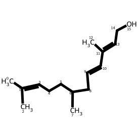 CC(C)=CCCC(C)C/C=C/C(C)=C/CO